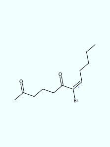 CCCC/C=C(/Br)C(=O)CCCC(C)=O